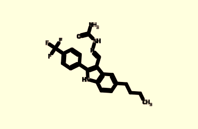 CCCCc1ccc2[nH]c(-c3ccc(C(F)(F)F)cc3)c(C=NNC(N)=O)c2c1